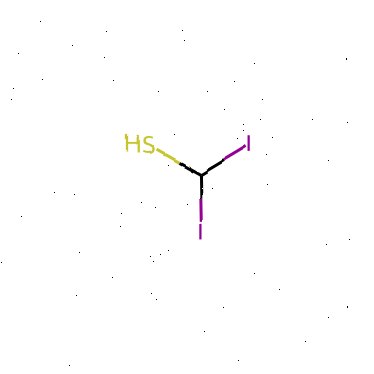 SC(I)I